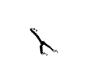 CCCCCCCCCCCCCCCCCC[n+]1ccc(CCCCCCCCCCCCC)c(CCCCCCCCCCCCC)c1